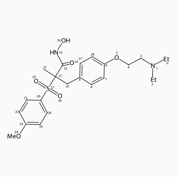 CCN(CC)CCOc1ccc(CC(C)(C(=O)NO)S(=O)(=O)c2ccc(OC)cc2)cc1